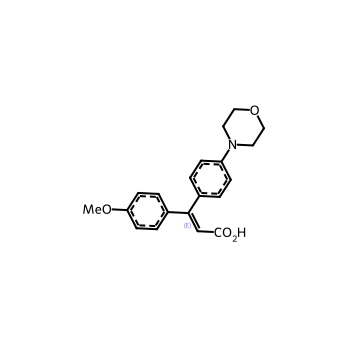 COc1ccc(/C(=C/C(=O)O)c2ccc(N3CCOCC3)cc2)cc1